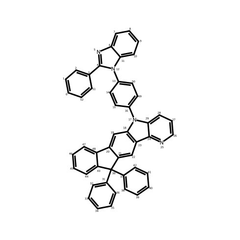 c1ccc(-c2nc3ccccc3n2-c2ccc(-n3c4cc5c(cc4c4ncccc43)C(c3ccccc3)(c3ccccc3)c3ccccc3-5)cc2)cc1